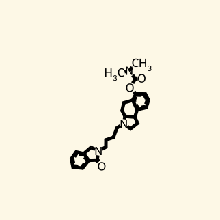 CN(C)C(=O)Oc1cccc2c1CCC1C2CCN1CCCCN1Cc2ccccc2C1=O